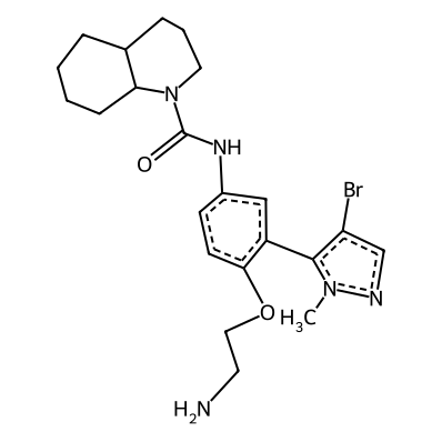 Cn1ncc(Br)c1-c1cc(NC(=O)N2CCCC3CCCCC32)ccc1OCCN